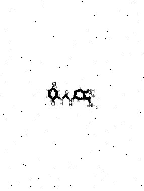 Nc1n[nH]c2ccc(NC(=O)Nc3cc(Cl)ccc3Cl)cc12